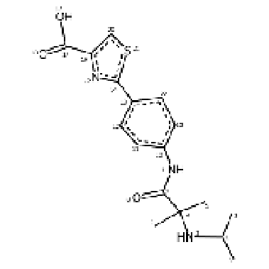 CC(C)NC(C)(C)C(=O)Nc1ccc(-c2nc(C(=O)O)cs2)cc1